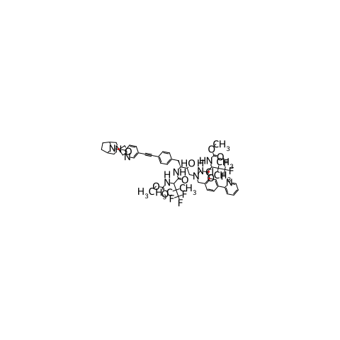 COC(=O)NC(C(=O)N[C@@H](Cc1ccc(C#Cc2ccc(N3CC4CCC(C3)N4C3COC3)nc2)cc1)[C@@H](O)CN(Cc1ccc(-c2ccccn2)cc1Cl)NC(=O)[C@@H](NC(=O)OC)C(C)(C)C(F)(F)F)C(C)(C)C(F)(F)F